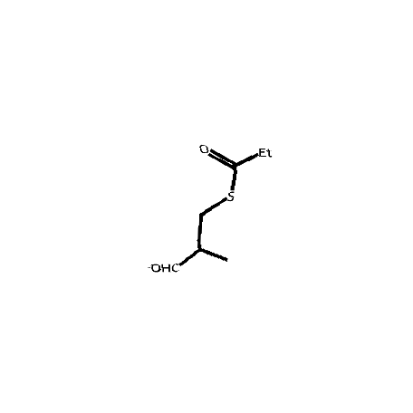 CCC(=O)SCC(C)[C]=O